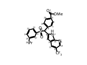 COC(=O)c1ccc(C(c2cc3cc(C(F)(F)F)cnc3[nH]2)S(=O)(=O)c2cccc(C(C)C)c2)cc1